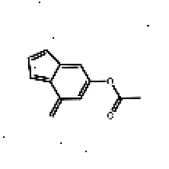 C=c1cc(OC(C)=O)cc2c1=CC=C2